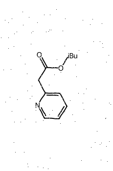 CCC(C)OC(=O)Cc1ccccn1